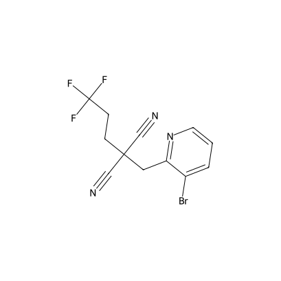 N#CC(C#N)(CCC(F)(F)F)Cc1ncccc1Br